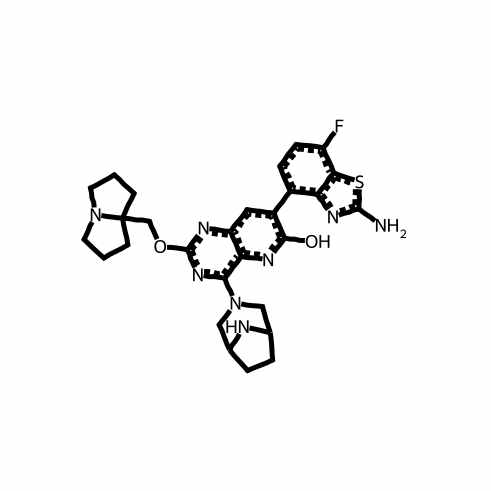 Nc1nc2c(-c3cc4nc(OCC56CCCN5CCC6)nc(N5CC6CCC(C5)N6)c4nc3O)ccc(F)c2s1